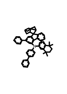 CC1(C)CCC(C)(C)c2cc(N(c3ccc(-c4ccccc4)cc3)c3cc(-c4ccccc4)cc4c3-c3ccccc3C43C4CC5CC(C4)C3C5)ccc21